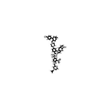 CC1(C)CCC(CN2CCN(c3ccc(C(=O)NS(=O)(=O)c4ccc(NCC5CN(C6CC6)CCO5)c([N+](=O)[O-])c4)c(-n4ncc5nc6[nH]ccc6cc54)c3)CC2)=C(c2ccc(Cl)cc2)C1